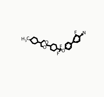 CC1CCC(C2COC(C3CCC(C(F)(F)Oc4ccc(-c5ccc(C#N)c(F)c5)cc4)CC3)OC2)CC1